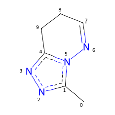 Cc1nnc2n1N=[C]CC2